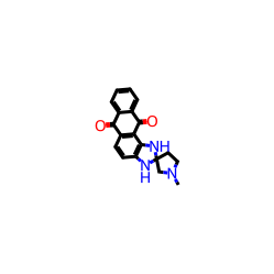 CN1CCC2(C1)Nc1ccc3c(c1N2)C(=O)c1ccccc1C3=O